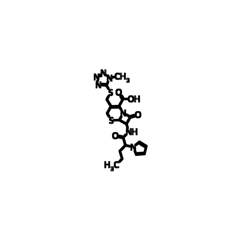 CCCC(C(=O)NC1C(=O)N2C(C(=O)O)=C(CSc3nnnn3C)CSC12)n1cccc1